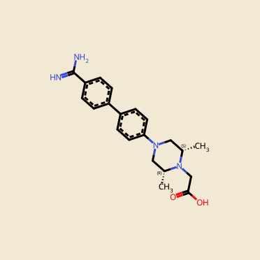 C[C@@H]1CN(c2ccc(-c3ccc(C(=N)N)cc3)cc2)C[C@H](C)N1CC(=O)O